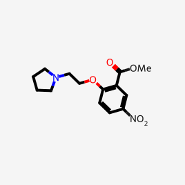 COC(=O)c1cc([N+](=O)[O-])ccc1OCCN1CCCC1